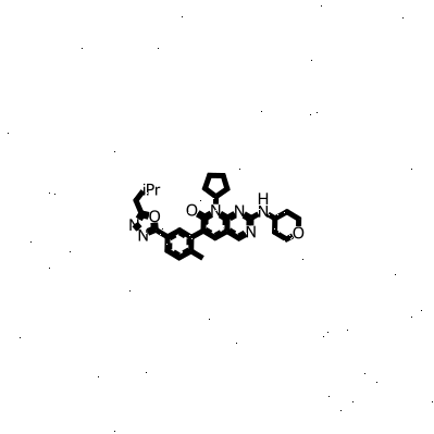 Cc1ccc(-c2nnc(CC(C)C)o2)cc1-c1cc2cnc(NC3CCOCC3)nc2n(C2CCCC2)c1=O